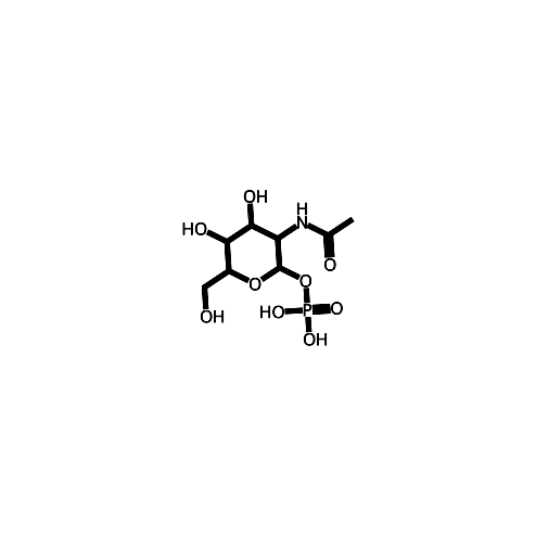 CC(=O)NC1C(OP(=O)(O)O)OC(CO)C(O)C1O